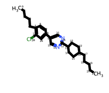 CCCCCc1ccc(-c2cnc(C3CCC(CCCCC)CC3)nc2)cc1Cl